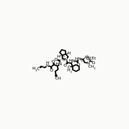 C#CCCC(NC(=O)[C@@H]1[C@H]2CCC[C@H]2CN1C(=O)[C@@H](NC(=O)N[C@H](CN(C)S(=O)(=O)CC)C(C)(C)C)C1(C)CCCCC1)C(=O)C(=O)NCC=C